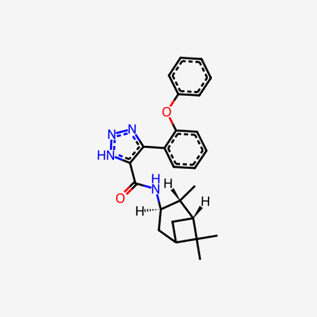 C[C@@H]1[C@H]2CC(C[C@H]1NC(=O)c1[nH]nnc1-c1ccccc1Oc1ccccc1)C2(C)C